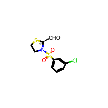 O=[C][C@@H]1SCCN1S(=O)(=O)c1cccc(Cl)c1